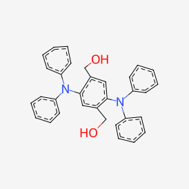 OCc1cc(N(c2ccccc2)c2ccccc2)c(CO)cc1N(c1ccccc1)c1ccccc1